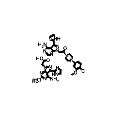 COc1cc(N2CCN(C(=O)Cn3nc(-c4ncc[nH]4)c4c(N)ncnc43)CC2)ccc1Cl.Cl.Cl.Nc1ncnc2c1c(-c1ncc[nH]1)nn2CC(=O)O